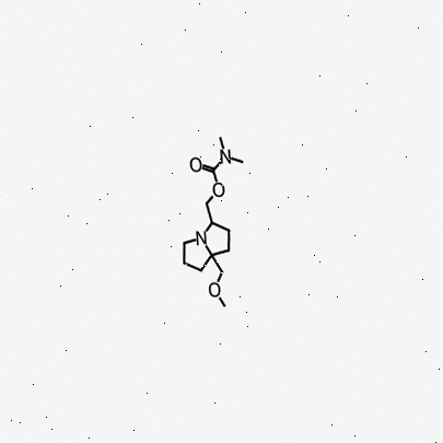 COCC12CCCN1C(COC(=O)N(C)C)CC2